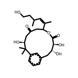 C/C(=C/C(C)CCO)C1CC(=O)C[C@H](O)C(C)(C)c2cccc(c2)C[C@@H](O)[C@H](O)C(=O)O1